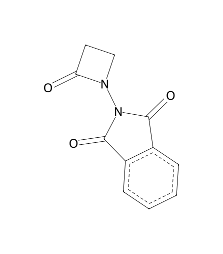 O=C1CCN1N1C(=O)c2ccccc2C1=O